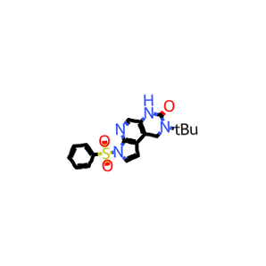 CC(C)(C)N1Cc2c(cnc3c2ccn3S(=O)(=O)c2ccccc2)NC1=O